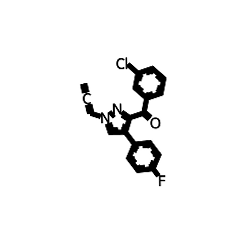 C=C=Cn1cc(-c2ccc(F)cc2)c(C(=O)c2cccc(Cl)c2)n1